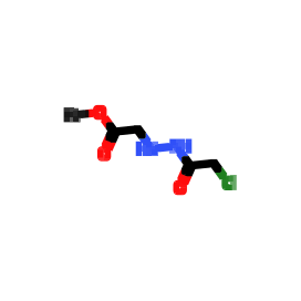 CCOC(=O)CNNC(=O)CCl